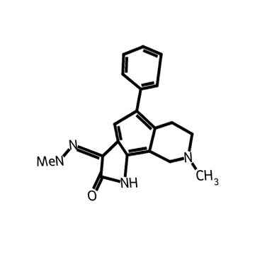 CNN=C1C(=O)Nc2c1cc(-c1ccccc1)c1c2CN(C)CC1